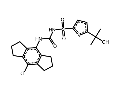 CC(C)(O)c1ccc(S(=O)(=O)NC(=O)Nc2c3c(c(Cl)c4c2CCC4)CCC3)s1